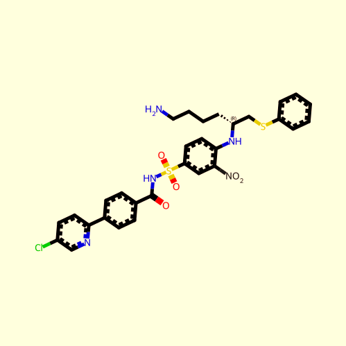 NCCCC[C@H](CSc1ccccc1)Nc1ccc(S(=O)(=O)NC(=O)c2ccc(-c3ccc(Cl)cn3)cc2)cc1[N+](=O)[O-]